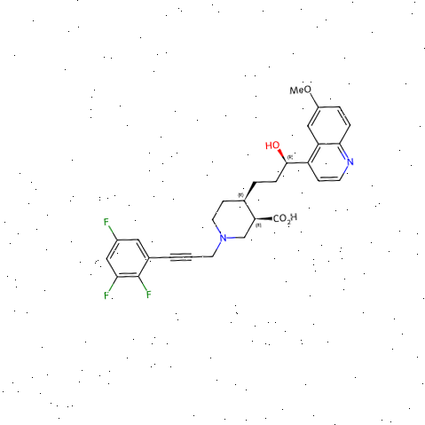 COc1ccc2nccc([C@H](O)CC[C@@H]3CCN(CC#Cc4cc(F)cc(F)c4F)C[C@@H]3C(=O)O)c2c1